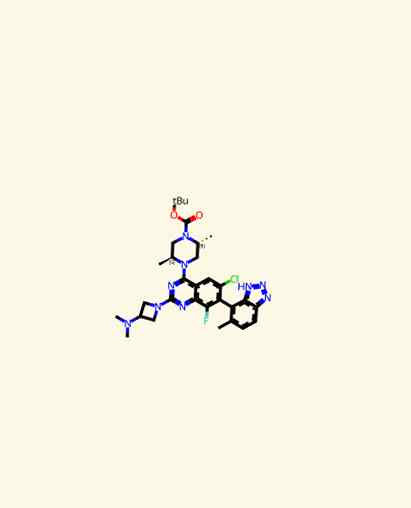 Cc1ccc2nn[nH]c2c1-c1c(Cl)cc2c(N3C[C@@H](C)N(C(=O)OC(C)(C)C)C[C@@H]3C)nc(N3CC(N(C)C)C3)nc2c1F